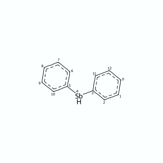 c1cc[c]([SbH][c]2ccccc2)cc1